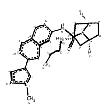 Cn1cc(-c2cc3cc(NC(=O)N4[C@@H]5CC[C@H]4C[C@H](NCCC(F)(F)F)C5)ncc3cn2)cn1